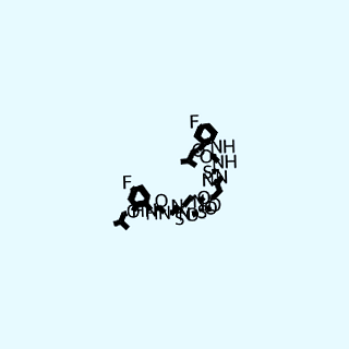 CC(C)COc1cc(F)ccc1NC(=O)Nc1nc(CC(=O)ON(Cc2nsc(NC(=O)Nc3ccc(F)cc3OCC(C)C)n2)S(C)(=O)=O)ns1